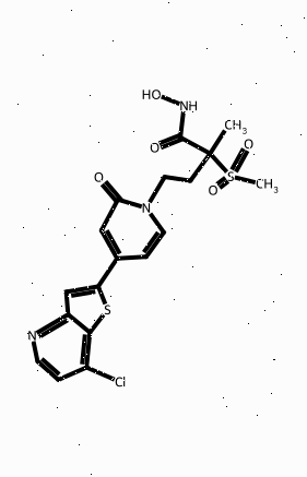 CC(CCn1ccc(-c2cc3nccc(Cl)c3s2)cc1=O)(C(=O)NO)S(C)(=O)=O